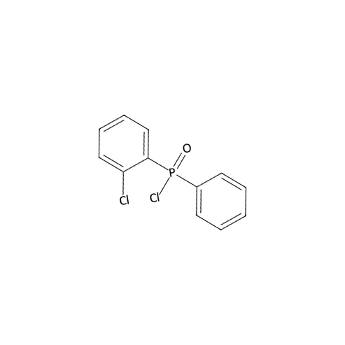 O=P(Cl)(c1ccccc1)c1ccccc1Cl